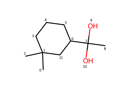 CC1(C)CCCC(C(C)(O)O)C1